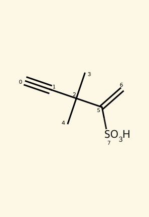 C#CC(C)(C)C(=C)S(=O)(=O)O